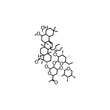 CCC1O[C@@H](OC2[C@H](O[C@H]3CCC4(C)C5CC=C6C7CC(C)(C)CC[C@]7(CO)C(OC)C[C@@]6(C)[C@@]5(C)CC[C@H]4[C@@]3(C)C=O)OC(C(C)=O)[C@@H](C)[C@@H]2O[C@@H]2OC[C@@H](C)[C@@H](C)C2C)C(O[Si](CC)(CC)CC)[C@@H](C)[C@@H]1C